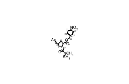 CC(=O)S[C@H]1C[C@@H](CC(=O)N(C)C)N(C(=O)OCc2ccc([N+](=O)[O-])cc2)C1